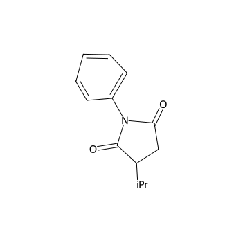 CC(C)C1CC(=O)N(c2ccccc2)C1=O